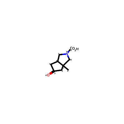 CC12CC(=O)CC1CN(C(=O)O)C2